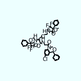 COC(C(=O)NCCCC[C@H](NC(=O)C(OC)(c1ccccc1)C(F)(F)F)C(=O)NCC(=O)N(C)c1ccc(Cl)cc1C(=O)c1ccccc1)(c1ccccc1)C(F)(F)F